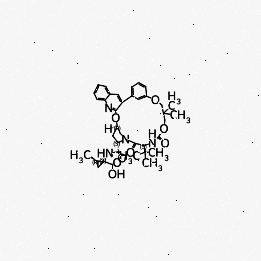 C[C@@H]1C[C@]1(NC(=O)[C@@H]1C[C@@H]2CN1C(=O)[C@H](C(C)(C)C)NC(=O)OCC(C)(C)COc1cccc(c1)-c1cc3ccccc3nc1O2)C(=O)O